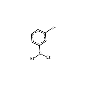 CCN(CC)c1cccc(C(C)C)c1